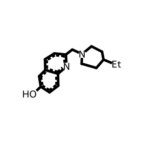 CCC1CCN(Cc2ccc3cc(O)ccc3n2)CC1